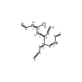 C=C/C=C(\C=N/C=C)C(/C=C)=N/C(Cl)=N\C=C